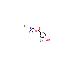 CCc1cc(C(=O)OCN(C)C)ccc1O